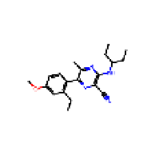 CCc1cc(OC)ccc1-c1nc(C#N)c(NC(CC)CC)nc1C